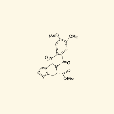 COC(=O)[C@@H]1Cc2sccc2CN1C(=O)c1cc(OC)c(OC)cc1[N+](=O)[O-]